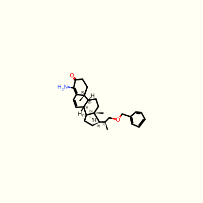 C[C@H](COCc1ccccc1)[C@H]1CC[C@H]2[C@@H]3C=CC4=C(N)C(=O)CC[C@]4(C)[C@H]3CC[C@]12C